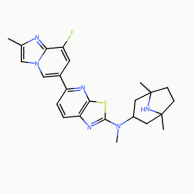 Cc1cn2cc(-c3ccc4nc(N(C)C5CC6(C)CCC(C)(C5)N6)sc4n3)cc(F)c2n1